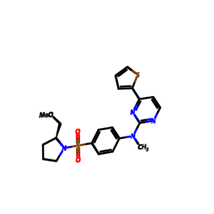 COC[C@@H]1CCCN1S(=O)(=O)c1ccc(N(C)c2nccc(-c3cccs3)n2)cc1